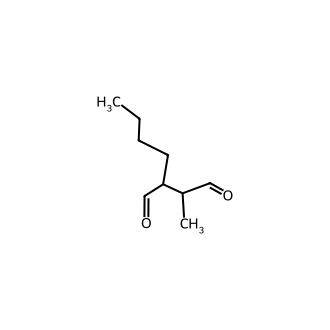 CCCCC(C=O)C(C)C=O